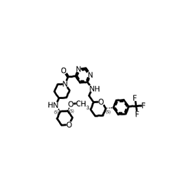 CO[C@@H]1COCC[C@@H]1NC1CCN(C(=O)c2cc(NCC3CCC[C@@H](c4ccc(C(F)(F)F)cc4)O3)ncn2)CC1